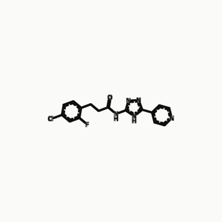 O=C(CCc1ccc(Cl)cc1F)Nc1nnc(-c2ccncc2)[nH]1